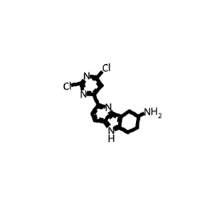 NC1CCc2[nH]c3ccc(-c4cc(Cl)nc(Cl)n4)nc3c2C1